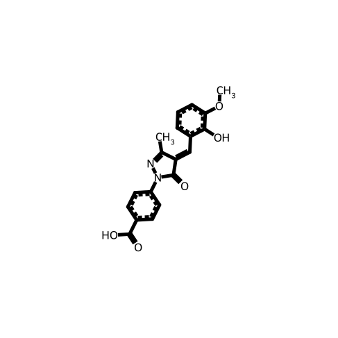 COc1cccc(C=C2C(=O)N(c3ccc(C(=O)O)cc3)N=C2C)c1O